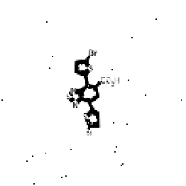 O=C(O)c1cc(-c2ccc(Br)s2)c2nsnc2c1-c1ccc(Br)s1